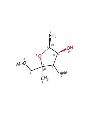 B[C@@H]1O[C@](C)(COC)C(OC)[C@@H]1O